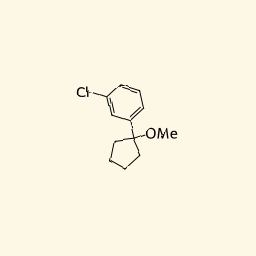 COC1(c2cccc(Cl)c2)CCCC1